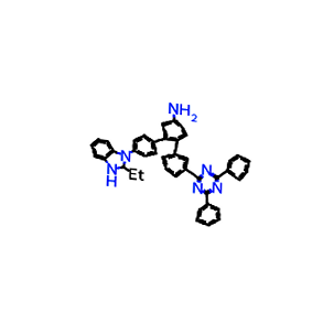 CCC1Nc2ccccc2N1c1ccc(-c2cc(N)ccc2-c2cccc(-c3nc(-c4ccccc4)nc(-c4ccccc4)n3)c2)cc1